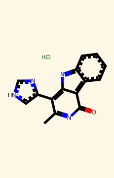 CC1=NC(=O)C2=c3ccccc3=NC2=C1c1c[nH]cn1.Cl